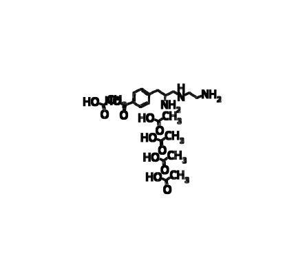 CC(=O)O.CC(=O)O.CC(=O)O.CC(=O)O.CC(=O)O.NCCNCC(N)Cc1ccc(C(=O)O)cc1